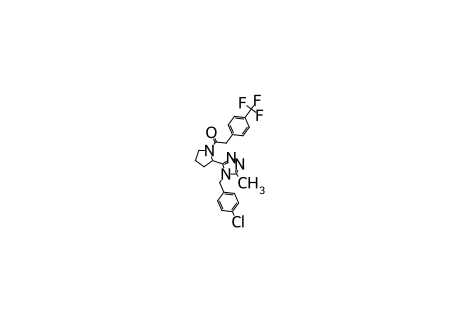 Cc1nnc(C2CCCN2C(=O)Cc2ccc(C(F)(F)F)cc2)n1Cc1ccc(Cl)cc1